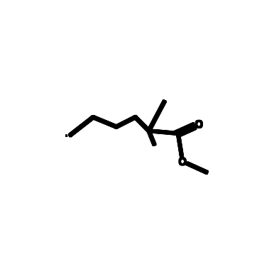 [CH2]CCCC(C)(C)C(=O)OC